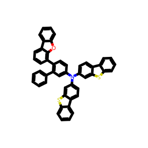 c1ccc(-c2cc(N(c3ccc4c(c3)sc3ccccc34)c3ccc4c(c3)sc3ccccc34)ccc2-c2cccc3c2oc2ccccc23)cc1